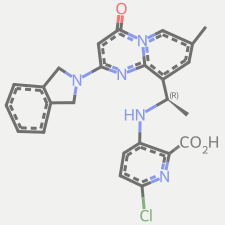 Cc1cc([C@@H](C)Nc2ccc(Cl)nc2C(=O)O)c2nc(N3Cc4ccccc4C3)cc(=O)n2c1